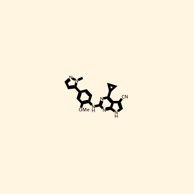 COc1cc(-c2ccnn2C)ccc1Nc1nc(C2CC2)c2c(C#N)c[nH]c2n1